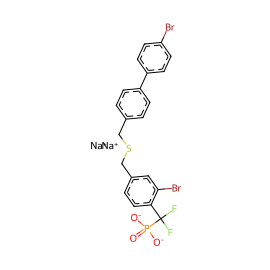 O=P([O-])([O-])C(F)(F)c1ccc(CSCc2ccc(-c3ccc(Br)cc3)cc2)cc1Br.[Na+].[Na+]